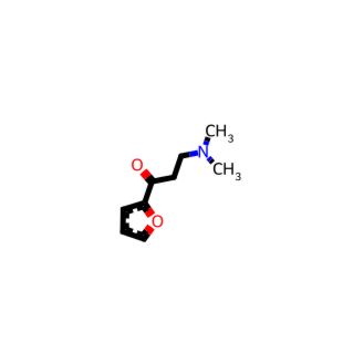 CN(C)CCC(=O)c1ccco1